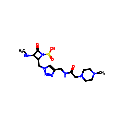 CNC1C(=O)N(S(=O)O)C1Cn1cc(CNC(=O)CN2CCN(C)CC2)nn1